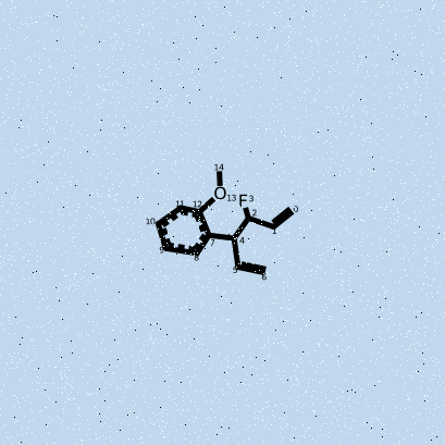 C=CC(F)C(C=C)c1ccccc1OC